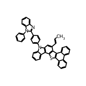 C/C=C/c1cc2c(c3ccccc3n2-c2ccc(-c3nc4ccccc4n3-c3ccccc3)cc2)c2sc3c4ccccc4c4ccccc4c3c12